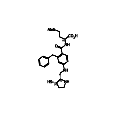 CSCC[C@H](NC(=O)c1ccc(NC[C@@H]2NCC[C@@H]2S)cc1Cc1ccccc1)C(=O)O